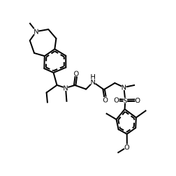 CCC(c1ccc2c(c1)CCN(C)CC2)N(C)C(=O)CNC(=O)CN(C)S(=O)(=O)c1c(C)cc(OC)cc1C